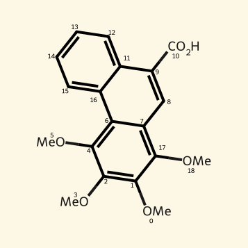 COc1c(OC)c(OC)c2c(cc(C(=O)O)c3ccccc32)c1OC